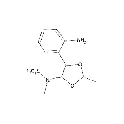 CC1OC(c2ccccc2N)C(N(C)S(=O)(=O)O)O1